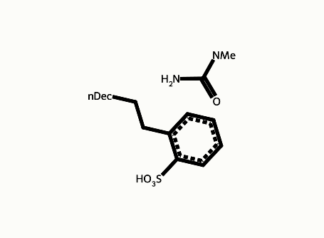 CCCCCCCCCCCCc1ccccc1S(=O)(=O)O.CNC(N)=O